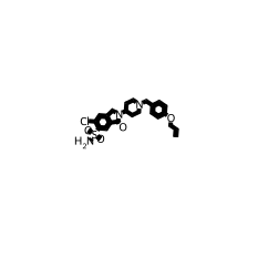 C=CCOc1ccc(CN2CCC(N3Cc4cc(Cl)c(S(N)(=O)=O)cc4C3=O)CC2)cc1